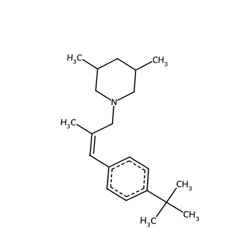 CC(=Cc1ccc(C(C)(C)C)cc1)CN1CC(C)CC(C)C1